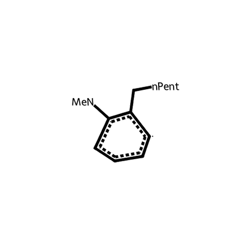 CCCCCCc1[c]cccc1NC